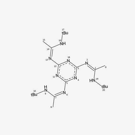 CC(=Nc1nc(N=C(C)NC(C)(C)C)nc(N=C(C)NC(C)(C)C)n1)NC(C)(C)C